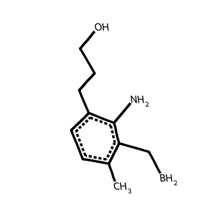 BCc1c(C)ccc(CCCO)c1N